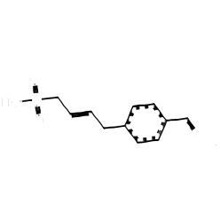 C=Cc1ccc(C/C=C/CS(=O)(=O)O)cc1